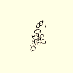 Cc1cc(Oc2ccccc2NC(=O)Nc2ccc(OC(F)(F)F)cc2)n(-c2ccccc2C)n1